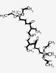 CCO[Si](C)(CCCC(=O)C(CC)CNCC(CC)C(=O)CCC[Si](C)(OCC)OCC)OCC